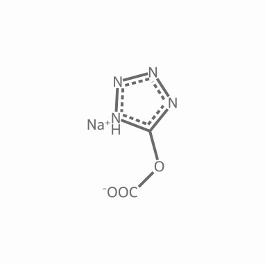 O=C([O-])Oc1nnn[nH]1.[Na+]